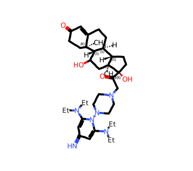 CCN(CC)c1cc(=N)cc(N(CC)CC)n1N1CCN(CC(=O)[C@@]2(O)CC[C@H]3[C@@H]4CCC5=CC(=O)CC[C@]5(C)[C@H]4C(O)C[C@@]32C)CC1